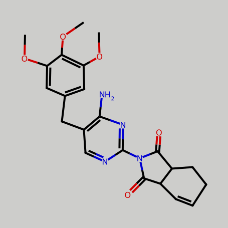 COc1cc(Cc2cnc(N3C(=O)C4C=CCCC4C3=O)nc2N)cc(OC)c1OC